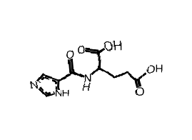 O=C(O)CCC(NC(=O)c1cnc[nH]1)C(=O)O